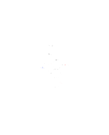 CNC.COc1ccc2oc(-c3ccccc3)cc(=O)c2c1